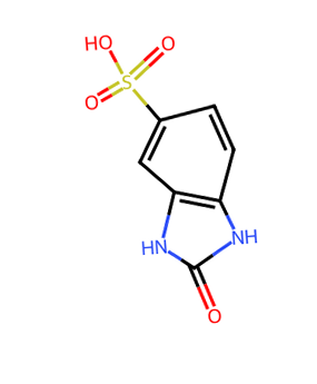 O=c1[nH]c2ccc(S(=O)(=O)O)cc2[nH]1